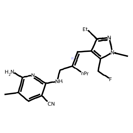 CCC/C(=C\c1c(CC)nn(C)c1CF)CNc1nc(N)c(C)cc1C#N